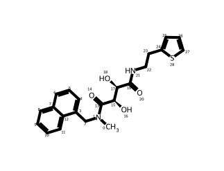 CN(Cc1cccc2ccccc12)C(=O)[C@H](O)[C@@H](O)C(=O)NCCc1cccs1